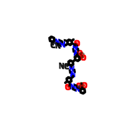 Cc1cc(C)c(C(=O)N2CCN(c3cc(-c4ccc(C#N)c(N5CCN(Cc6ccc(C)c(C(=O)N7CCN(c8ccccc8S(C)(=O)=O)CC7)c6)CC5)c4)ccc3S(C)(=O)=O)CC2)cc1CN1CCN(c2ccccc2C#N)CC1